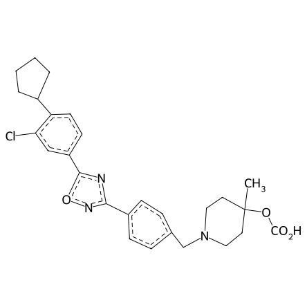 CC1(OC(=O)O)CCN(Cc2ccc(-c3noc(-c4ccc(C5CCCC5)c(Cl)c4)n3)cc2)CC1